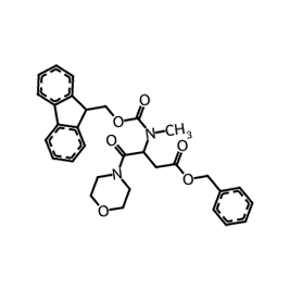 CN(C(=O)OCC1c2ccccc2-c2ccccc21)C(CC(=O)OCc1ccccc1)C(=O)N1CCOCC1